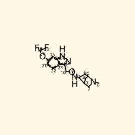 CN1CC2CC1CC2NOCc1n[nH]c2cc(OC(F)F)ccc12